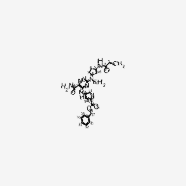 C=CC(=O)NC1CC[C@@H](N(C)c2nnc(C(N)=O)c(Nc3cnn(C(=O)OCc4ccccc4)c3)n2)C1